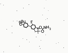 CCCCOc1ccc(-c2cc3c(cc2F)[C@H](OC(N)=O)C(C)(C)C3)cc1